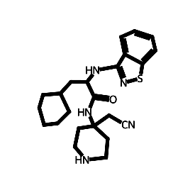 N#CCC1(NC(=O)C(CC2CCCCC2)Nc2nsc3ccccc23)CCNCC1